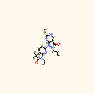 C=CCn1c(=O)c2cnc(SC)nc2n1-c1ccc2c(n1)N(CC)C(=O)C2(C)C